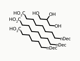 CCCCCCCCCCCCCCCC(=O)O.CCCCCCCCCCCCCCCCCC(=O)O.CCCCCCCCCCCCCCCCCC(=O)O.OCC(O)CO